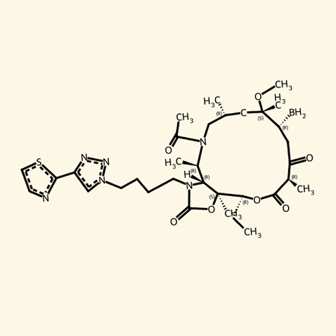 B[C@@H]1CC(=O)[C@@H](C)C(=O)O[C@H](CC)[C@@]2(C)OC(=O)N(CCCCn3cc(-c4nccs4)nn3)[C@@H]2[C@@H](C)N(C(C)=O)C[C@H](C)C[C@]1(C)OC